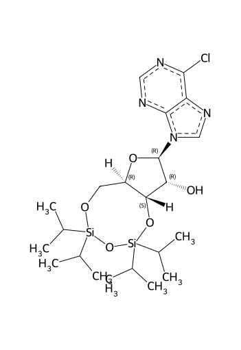 CC(C)[Si]1(C(C)C)OC[C@H]2O[C@@H](n3cnc4c(Cl)ncnc43)[C@H](O)[C@@H]2O[Si](C(C)C)(C(C)C)O1